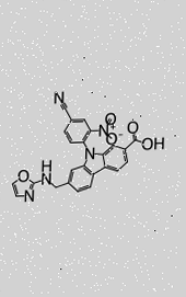 N#Cc1ccc(-n2c3cc(CNc4ncco4)ccc3c3ccc(C(=O)O)cc32)c([N+](=O)[O-])c1